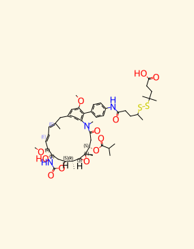 COc1cc2cc(c1-c1ccc(NC(=O)CCC(C)SSC(C)(C)CCC(=O)O)cc1)N(C)C(=O)C[C@H](OC(=O)C(C)C)[C@]1(C)O[C@H]1[C@H](C)[C@@H]1C[C@@](O)(NC(=O)O1)[C@H](OC)/C=C/C=C(\C)C2